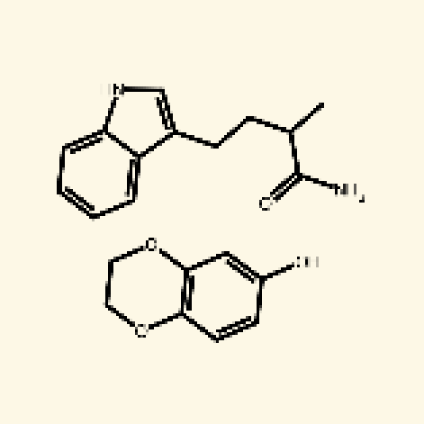 CC(CCc1c[nH]c2ccccc12)C(N)=O.Oc1ccc2c(c1)OCCO2